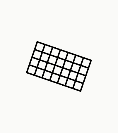 C1C2C3C4CC5C6C7C8C9C%10CC%11C%12C%13CC%14C%15C%16C%17C%18C1C21C32C45C63C74C85C96C%11%10C%127C%13%14C%158C%169C%17%10C%181C23C%104C95C786